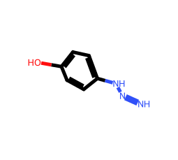 N=NNc1ccc(O)cc1